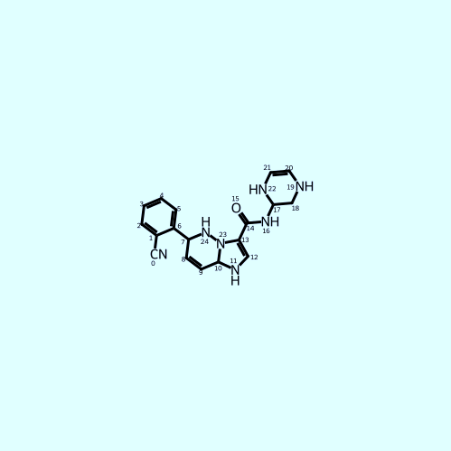 N#Cc1ccccc1C1C=CC2NC=C(C(=O)NC3CNC=CN3)N2N1